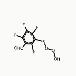 O=Cc1c(F)c(F)c(F)c(SOOO)c1F